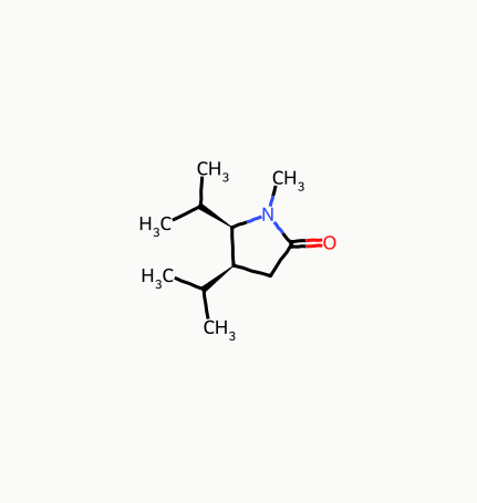 CC(C)[C@@H]1[C@H](C(C)C)CC(=O)N1C